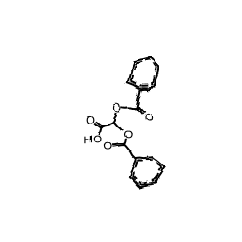 O=C(OC(OC(=O)c1ccccc1)C(=O)O)c1ccccc1